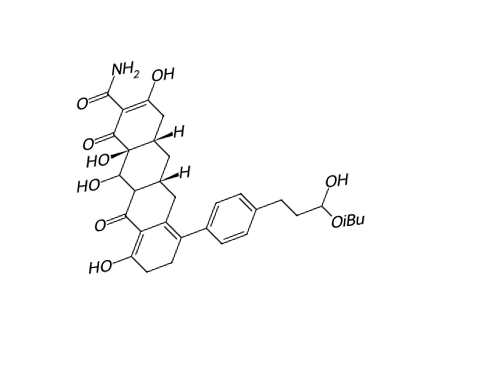 CC(C)COC(O)CCc1ccc(C2=C3C[C@H]4C[C@H]5CC(O)=C(C(N)=O)C(=O)[C@@]5(O)C(O)C4C(=O)C3=C(O)CC2)cc1